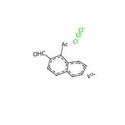 CC(=O)c1c(C=O)ccc2ccccc12.[Cl-].[Cl-].[Cl-].[V+3]